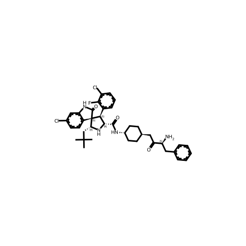 CC(C)(C)C[C@H]1N[C@@H](C(=O)N[C@H]2CC[C@H](CC(=O)[C@@H](N)Cc3ccccc3)CC2)[C@H](c2cccc(Cl)c2F)[C@@]12C(=O)Nc1cc(Cl)ccc12